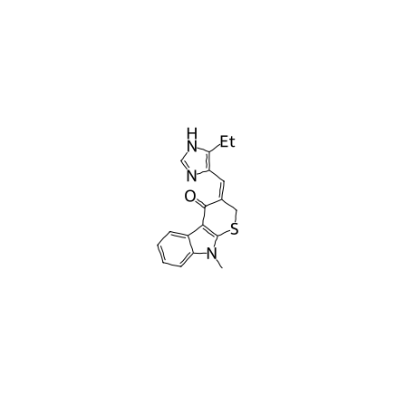 CCc1[nH]cnc1/C=C1/CSc2c(c3ccccc3n2C)C1=O